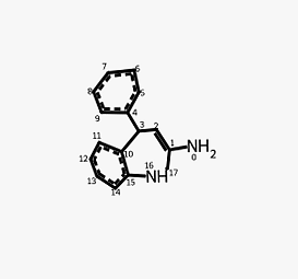 NC1=CC(c2ccccc2)c2ccccc2NC1